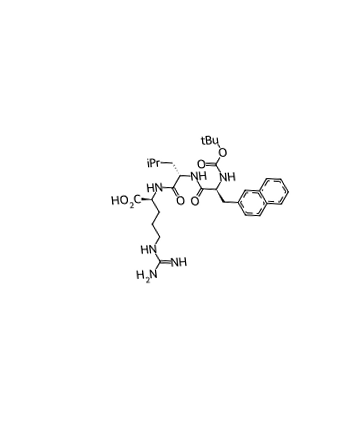 CC(C)C[C@H](NC(=O)[C@H](Cc1ccc2ccccc2c1)NC(=O)OC(C)(C)C)C(=O)N[C@@H](CCCNC(=N)N)C(=O)O